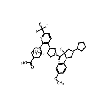 CC[C@H]1CN(C(=O)[C@]2(F)CN(C3CCCC3)C[C@H]2c2ccc(OC)cc2)C[C@@H]1c1ccc(C(F)(F)F)nc1N1CCC(C(=O)O)CC1